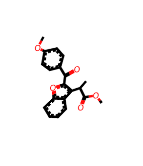 COC(=O)C(C)c1c(C(=O)c2ccc(OC)cc2)oc2ccccc12